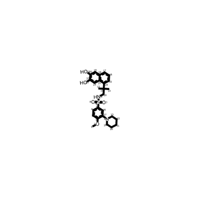 COc1ccc(S(=O)(=O)NCC(C)(C)c2cccc3cc(O)c(O)cc23)cc1N1CCCCC1